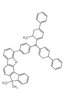 CC1CC(c2ccccc2)=CC=C1N(C1=CCC(c2ccccc2)C=C1)c1ccc(-c2cccc3c2oc2c4c(ccc23)C(C)(C)c2ccccc2-4)cc1